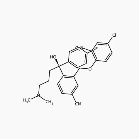 CN(C)CCC[C@](O)(c1ccc(F)cc1)c1ccc(C#N)cc1COc1ccc(Cl)cc1[N+](=O)[O-]